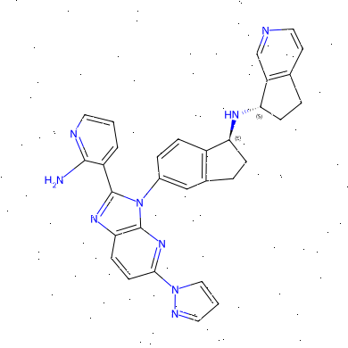 Nc1ncccc1-c1nc2ccc(-n3cccn3)nc2n1-c1ccc2c(c1)CC[C@@H]2N[C@H]1CCc2ccncc21